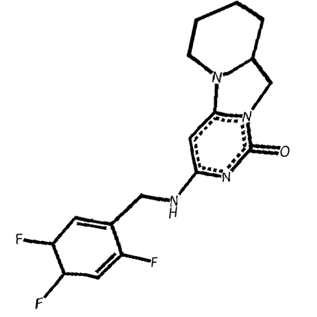 O=c1nc(NCC2=CC(F)C(F)C=C2F)cc2n1CC1CCCCN21